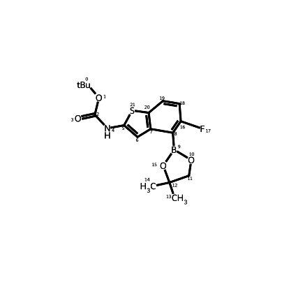 CC(C)(C)OC(=O)Nc1cc2c(B3OCC(C)(C)O3)c(F)ccc2s1